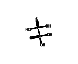 O=P(O)(O)P(O)(O)=S